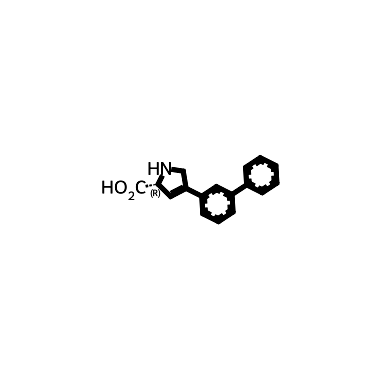 O=C(O)[C@H]1C=C(c2cccc(-c3ccccc3)c2)CN1